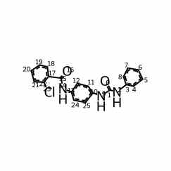 O=C(Nc1ccccc1)Nc1ccc(NC(=O)c2ccccc2Cl)cc1